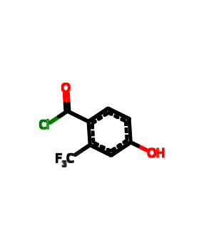 O=C(Cl)c1ccc(O)cc1C(F)(F)F